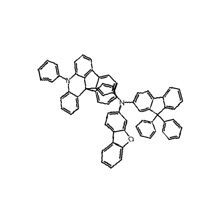 c1ccc(N2c3ccccc3C3(c4ccccc4)c4cc(N(c5ccc6c(c5)C(c5ccccc5)(c5ccccc5)c5ccccc5-6)c5ccc6c(c5)oc5ccccc56)ccc4-c4cccc2c43)cc1